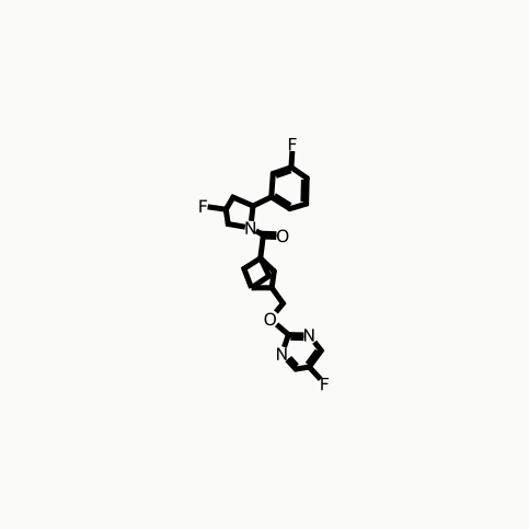 O=C(N1CC(F)CC1c1cccc(F)c1)C12CC(COc3ncc(F)cn3)C(C1)C2